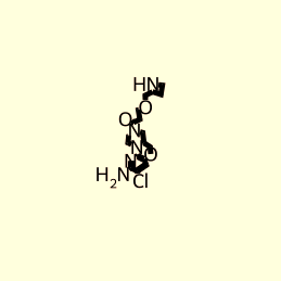 Nc1nc2c(cc1Cl)OCC1CN(C(=O)CCOCC3CCN3)CCN21